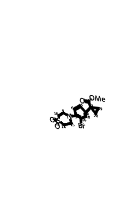 COC(=O)C1(c2ccc(N3CCS(=O)(=O)CC3)c(Br)c2)CC1